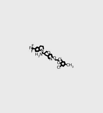 Cc1cc(Cl)c(OCCOc2ccc(CC(C=O)C(N)N3CCCc4cc(C(F)(F)F)ccc43)cn2)c(Cl)c1